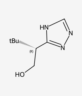 CC(C)(C)[C@@H](CO)c1nnc[nH]1